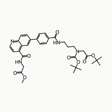 COC(=O)CNC(=O)c1ccnc2ccc(-c3ccc(C(=O)NCCCN(CC(=O)OC(C)(C)C)C(=O)OC(C)(C)C)cc3)cc12